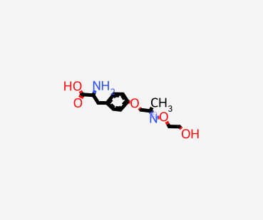 C/C(COc1ccc(CC(N)C(=O)O)cc1)=N\OCCO